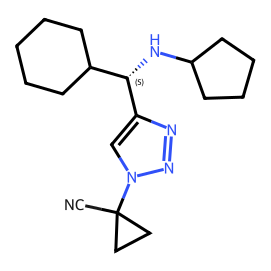 N#CC1(n2cc([C@@H](NC3CCCC3)C3CCCCC3)nn2)CC1